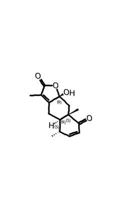 CC1=C2C[C@@H]3[C@@H](C)C=CC(=O)[C@@]3(C)C[C@@]2(O)OC1=O